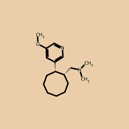 COc1cncc([C@H]2CCCCCC[C@H]2CN(C)C)c1